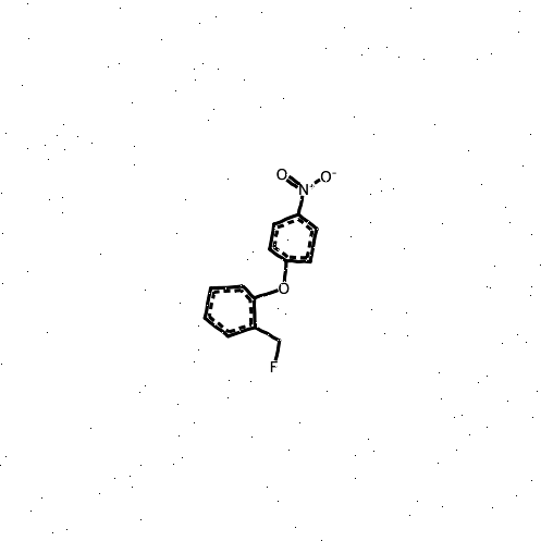 O=[N+]([O-])c1ccc(Oc2ccccc2CF)cc1